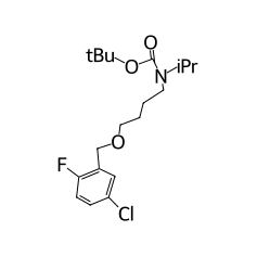 CC(C)N(CCCCOCc1cc(Cl)ccc1F)C(=O)OC(C)(C)C